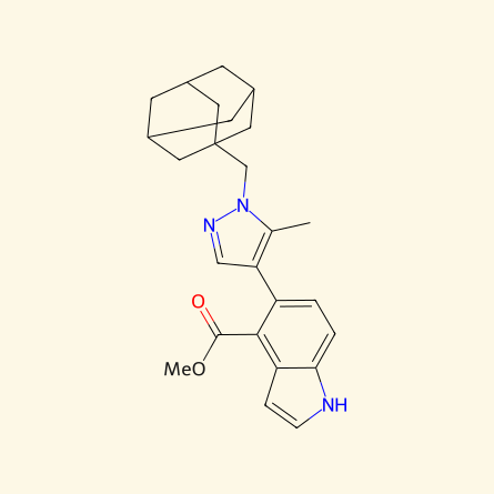 COC(=O)c1c(-c2cnn(CC34CC5CC(CC(C5)C3)C4)c2C)ccc2[nH]ccc12